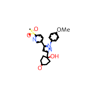 COc1ccc(-n2nc(C3(O)CCC(=O)CC3)cc2-c2ccc(S(C)(=O)=O)nc2)cc1